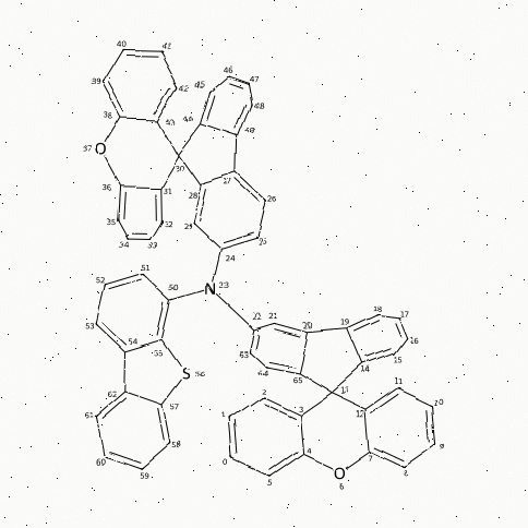 c1ccc2c(c1)Oc1ccccc1C21c2ccccc2-c2cc(N(c3ccc4c(c3)C3(c5ccccc5Oc5ccccc53)c3ccccc3-4)c3cccc4c3sc3ccccc34)ccc21